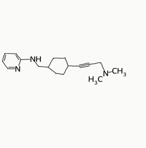 CN(C)CC#CC1CCC(CNc2ccccn2)CC1